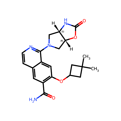 CC1(C)CC(Oc2cc3c(N4C[C@@H]5NC(=O)O[C@@H]5C4)nccc3cc2C(N)=O)C1